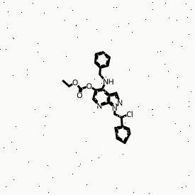 CCOC(=O)Oc1cnc2c(cnn2CC(Cl)c2ccccc2)c1NCc1ccccc1